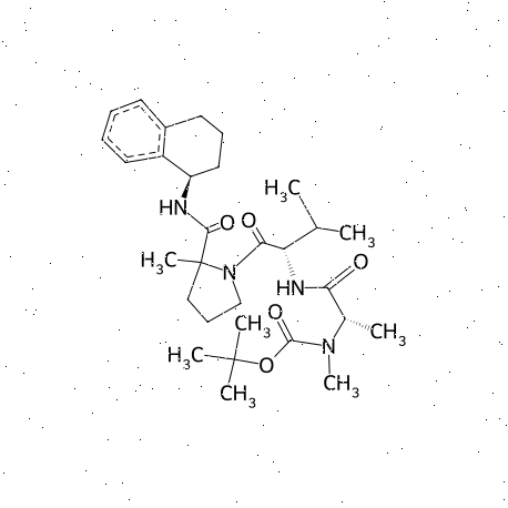 CC(C)[C@H](NC(=O)[C@H](C)N(C)C(=O)OC(C)(C)C)C(=O)N1CCCC1(C)C(=O)N[C@@H]1CCCc2ccccc21